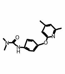 Cc1cc(C)nc(Oc2ccc(NC(=O)N(C)C)cc2)c1